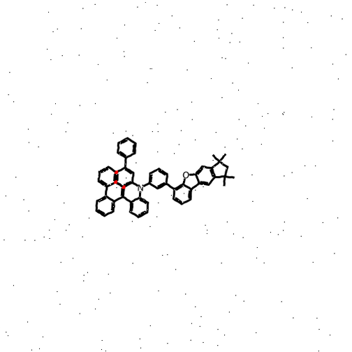 CC1(C)CC(C)(C)c2cc3c(cc21)oc1c(-c2cccc(N(c4cccc(-c5ccccc5)c4)c4ccccc4-c4cc5ccccc5c5ccccc45)c2)cccc13